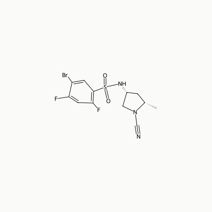 C[C@H]1C[C@@H](NS(=O)(=O)c2cc(Br)c(F)cc2F)CN1C#N